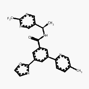 Cc1ccc(-c2cc(C(=O)N[C@H](C)c3cnc(C(F)(F)F)nc3)cc(-c3ncco3)c2)nc1